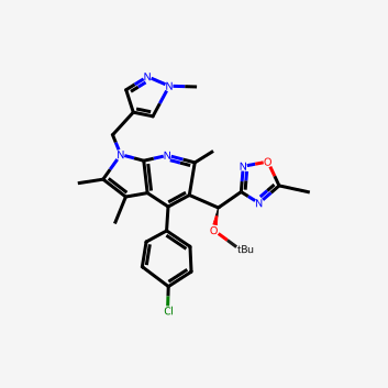 Cc1nc([C@@H](OC(C)(C)C)c2c(C)nc3c(c(C)c(C)n3Cc3cnn(C)c3)c2-c2ccc(Cl)cc2)no1